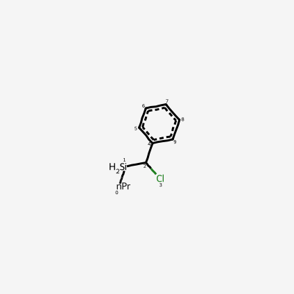 CCC[SiH2]C(Cl)c1ccccc1